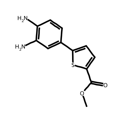 COC(=O)c1ccc(-c2ccc(N)c(N)c2)s1